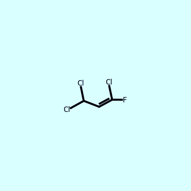 FC(Cl)=CC(Cl)Cl